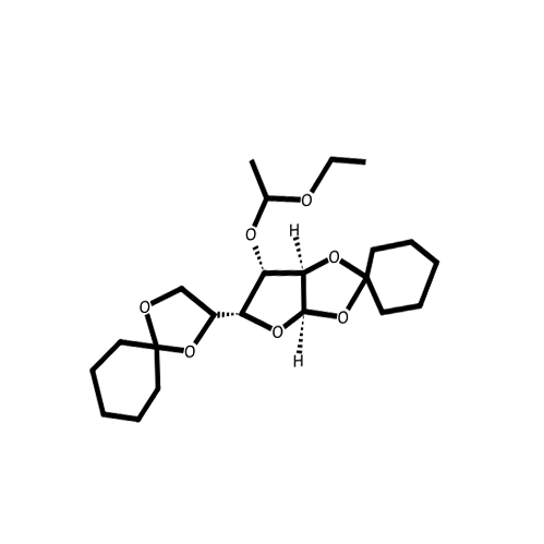 CCOC(C)O[C@@H]1[C@H]2OC3(CCCCC3)O[C@H]2O[C@@H]1C1COC2(CCCCC2)O1